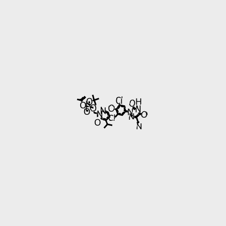 C=C(C)OP(=O)(OCn1nc(Oc2c(Cl)cc(-n3nc(C#N)c(=O)[nH]c3=O)cc2Cl)cc(C(C)C)c1=O)OC(C)(C)C